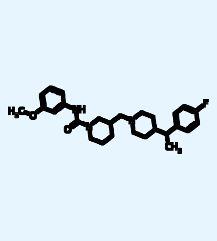 COc1cccc(NC(=O)N2CCCC(CN3CCC(C(C)c4ccc(F)cc4)CC3)C2)c1